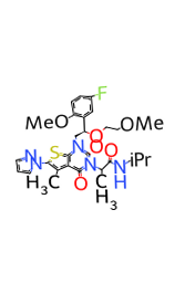 COCCO[C@@H](Cn1c(=O)n(C(C)C(=O)NC(C)C)c(=O)c2c(C)c(-n3cccn3)sc21)c1cc(F)ccc1OC